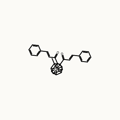 C[C]12[CH]3[CH]4[CH]5[C]1(C(=O)C=Cc1ccccc1)[Fe]43521678[CH]2[CH]1[CH]6[C]7(C(=O)C=Cc1ccccc1)[CH]28